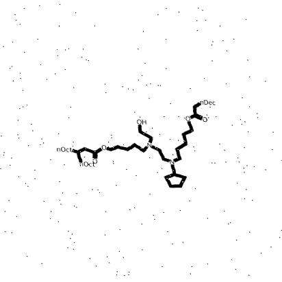 CCCCCCCCCCCC(=O)OCCCCCN(CCN(CCO)CCCCCOC(=O)CC(CCCCCCCC)CCCCCCCC)C1CCCC1